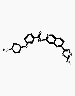 Cc1nnc(-c2ccc3cnc(NC(=O)c4cccc(OC5CCN(C)CC5)c4)cc3n2)s1